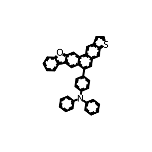 c1ccc(N(c2ccccc2)c2ccc(-c3cc4cc5sccc5cc4c4cc5oc6ccccc6c5cc34)cc2)cc1